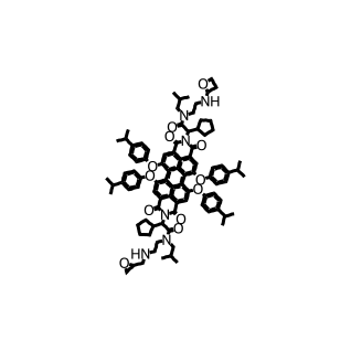 CC(C)CN(CCNCC1CO1)C(=O)C(C1CCCC1)N1C(=O)c2cc(Oc3ccc(C(C)C)cc3)c3c4c(Oc5ccc(C(C)C)cc5)cc5c6c(cc(Oc7ccc(C(C)C)cc7)c(c7c(Oc8ccc(C(C)C)cc8)cc(c2c37)C1=O)c64)C(=O)N(C(C(=O)N(CCNC1CCO1)CC(C)C)C1CCCC1)C5=O